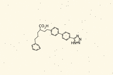 O=C(O)C(CCCc1ccccc1)CCc1ccc(-c2ccc(-c3nnn[nH]3)cc2)cc1